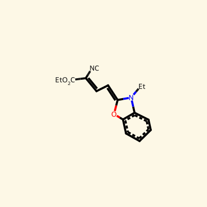 [C-]#[N+]/C(=C\C=C1/Oc2ccccc2N1CC)C(=O)OCC